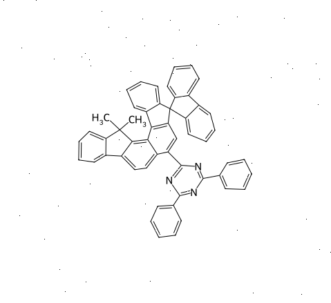 CC1(C)c2ccccc2-c2ccc3c(-c4nc(-c5ccccc5)nc(-c5ccccc5)n4)cc4c(c3c21)-c1ccccc1C41c2ccccc2-c2ccccc21